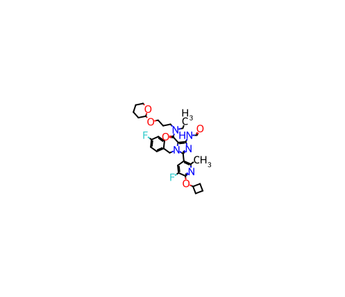 CCN(CCCOC1CCCCO1)C(=O)c1c(NC=O)nc(-c2cc(F)c(OC3CCC3)nc2C)n1Cc1ccc(F)cc1